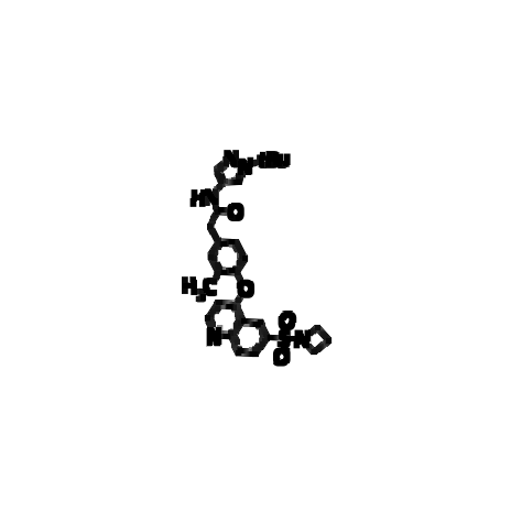 Cc1cc(CC(=O)Nc2cnn(C(C)(C)C)c2)ccc1Oc1ccnc2ccc(S(=O)(=O)N3CCC3)cc12